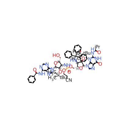 CC(C)C(=O)Nc1nc2c(ncn2[C@@H]2O[C@H](COP(=O)(N[C@H]3[C@@H](O[Si](C)(C)C(C)(C)C)[C@H](n4cnc5c(NC(=O)c6ccccc6)ncnc54)O[C@@H]3CO)OCCC#N)[C@@H](NC(c3ccccc3)(c3ccccc3)c3ccccc3)[C@H]2O[Si](C)(C)C(C)(C)C)c(=O)[nH]1